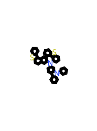 c1ccc(-n2c3ccccc3c3ccc(N(c4ccc5c(ccc6sc7ccccc7c65)c4)c4cccc5sc6ccccc6c45)cc32)cc1